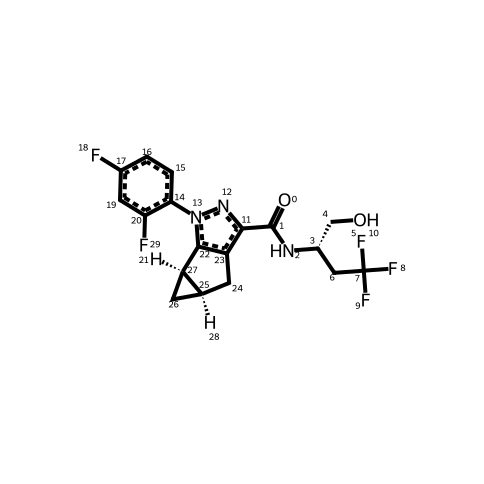 O=C(N[C@H](CO)CC(F)(F)F)c1nn(-c2ccc(F)cc2F)c2c1C[C@H]1C[C@@H]21